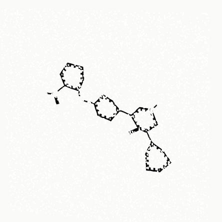 Cn1cc(-c2ccccc2)c(=S)c(-c2ccc(Oc3ccccc3[N+](=O)[O-])cc2)c1